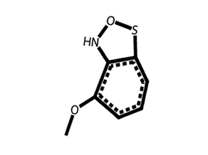 COc1cccc2c1NOS2